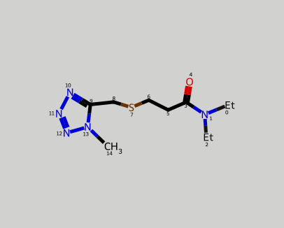 CCN(CC)C(=O)CCSCc1nnnn1C